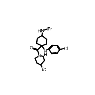 CCC1CCN(C(=O)C2(Nc3ccc(Cl)cc3)CCC(NC(C)C)CC2)CC1